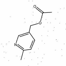 CC(=O)OCc1ccc(C)nc1